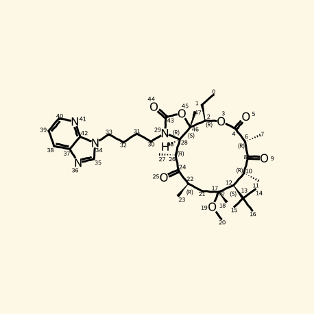 CC[C@H]1OC(=O)[C@H](C)C(=O)[C@H](C)[C@@H](C(C)(C)C)[C@](C)(OC)C[C@@H](C)C(=O)[C@H](C)[C@H]2N(CCCCn3cnc4cccnc43)C(=O)O[C@]12C